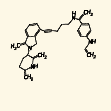 C=CNc1ccc(C(=C)NCCCC#Cc2cccc3c2CN(C2CCC(=C)NC2=C)C3=C)cc1